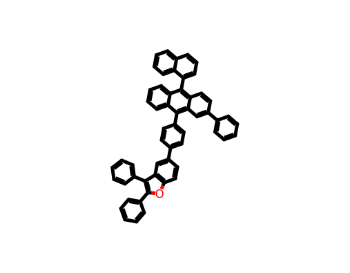 c1ccc(-c2ccc3c(-c4cccc5ccccc45)c4ccccc4c(-c4ccc(-c5ccc6oc(-c7ccccc7)c(-c7ccccc7)c6c5)cc4)c3c2)cc1